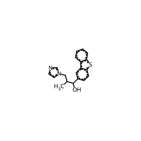 CC(Cn1ccnc1)C(O)c1ccc2sc3ccccc3c2c1